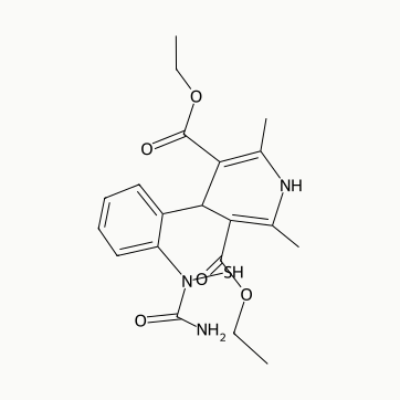 CCOC(=O)C1=C(C)NC(C)=C(C(=O)OCC)C1c1ccccc1N(S)C(N)=O